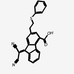 N#CC(C#N)=C1c2ccccc2-c2c(C(=O)O)cc(CCSc3ccccc3)cc21